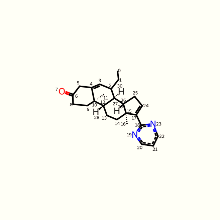 CCC1C=C2CC(=O)CC[C@]2(C)[C@H]2CC[C@]3(C)C(c4ncccn4)=CC[C@H]3[C@H]12